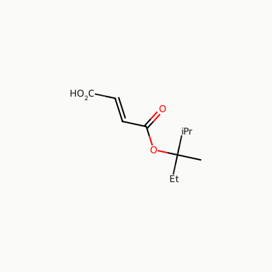 CCC(C)(OC(=O)C=CC(=O)O)C(C)C